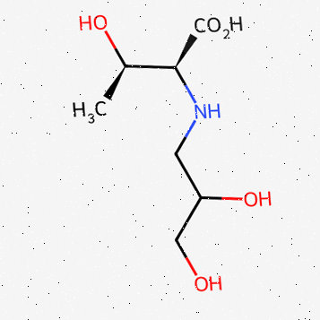 C[C@@H](O)[C@H](NCC(O)CO)C(=O)O